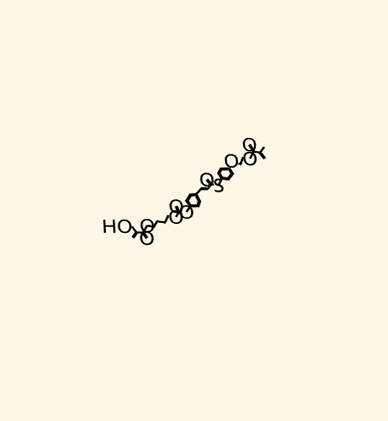 C=C(C)C(=O)OCCOc1ccc(SC(=O)/C=C/c2ccc(OC(=O)OCCCCOC(=O)C(=C)CO)cc2)cc1